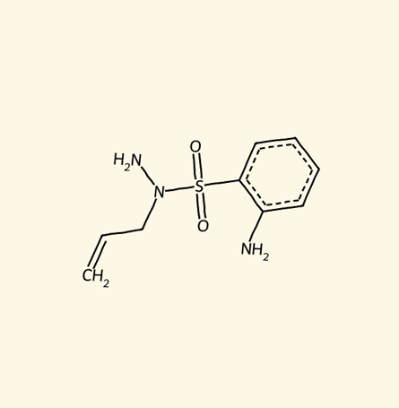 C=CCN(N)S(=O)(=O)c1ccccc1N